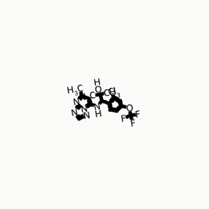 Cc1cc(NC(c2ccc(OC(F)(F)F)cc2Cl)C(C)(C)O)n2ncnc2n1